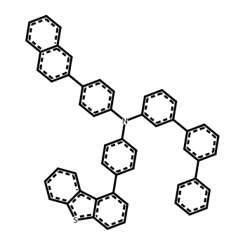 c1ccc(-c2cccc(-c3cccc(N(c4ccc(-c5ccc6ccccc6c5)cc4)c4ccc(-c5cccc6sc7ccccc7c56)cc4)c3)c2)cc1